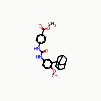 COC(=O)c1ccc(NC(=O)Nc2ccc(OC)c(C34CC5CC(CC(C5)C3)C4)c2)cc1